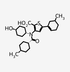 CC1CCC=C(c2cc(N(C(=O)[C@H]3CC[C@H](C)CC3)[C@H]3CC[C@H](O)CC3)c(C(=O)O)s2)C1